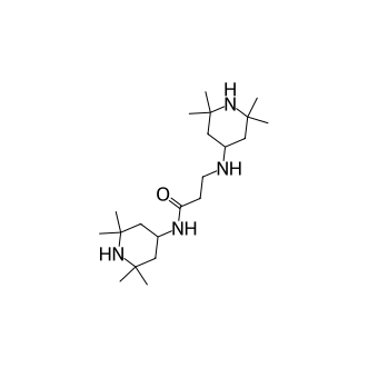 CC1(C)CC(NCCC(=O)NC2CC(C)(C)NC(C)(C)C2)CC(C)(C)N1